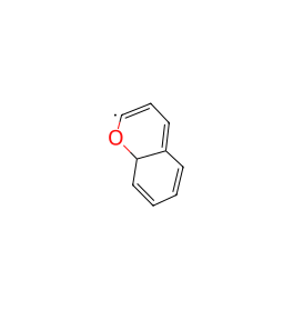 [C]1=CC=C2C=CC=CC2O1